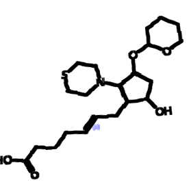 O=C(O)CCC/C=C/CC1C(O)CC(OC2CCCCO2)C1N1CCSCC1